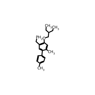 CCC(CC)COc1cc(C)c(-c2ccc(C)cc2)cc1CP